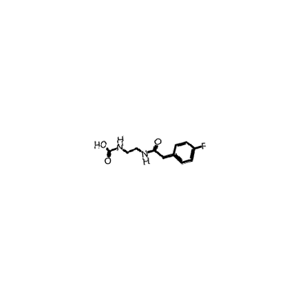 O=C(O)NCCNC(=O)Cc1ccc(F)cc1